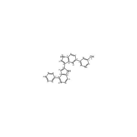 Oc1cncc(-c2ccc3[nH]nc(-c4cc5c(-c6ccncc6)nccc5[nH]4)c3n2)c1